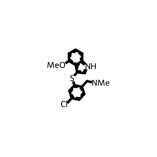 CNCc1ccc(Cl)cc1Sc1c[nH]c2cccc(OC)c12